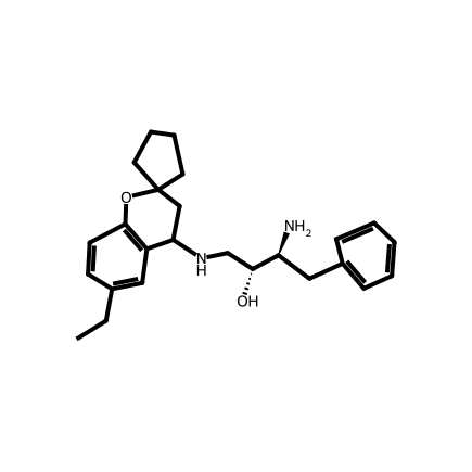 CCc1ccc2c(c1)C(NC[C@@H](O)[C@@H](N)Cc1ccccc1)CC1(CCCC1)O2